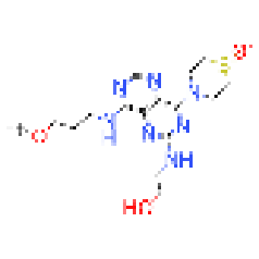 CCOCCCNc1ncnc2c(N3CC[S+]([O-])CC3)nc(NCCO)nc12